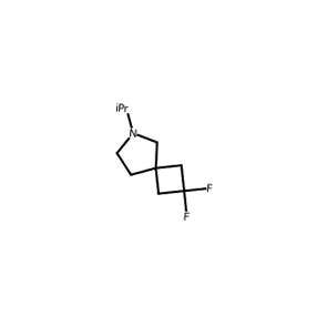 CC(C)N1CCC2(C1)CC(F)(F)C2